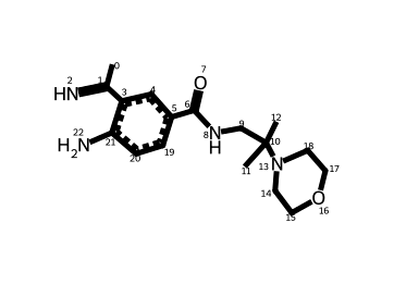 CC(=N)c1cc(C(=O)NCC(C)(C)N2CCOCC2)ccc1N